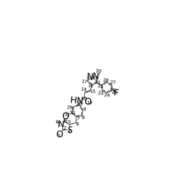 CN1C(=O)SC(Cc2ccc(NC(=O)/C=C/c3cnn(C)c3-c3ccc(F)cc3)cc2)C1=O